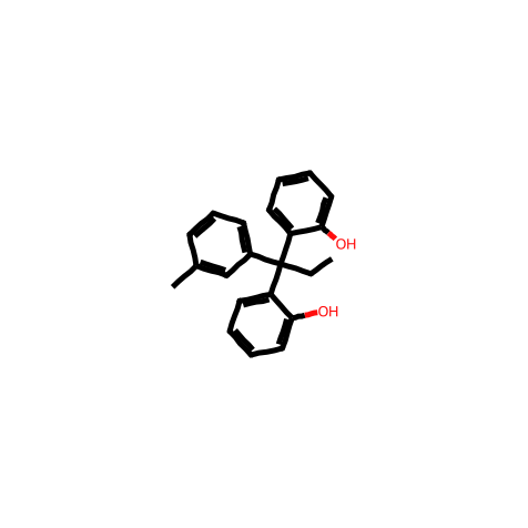 CCC(c1cccc(C)c1)(c1ccccc1O)c1ccccc1O